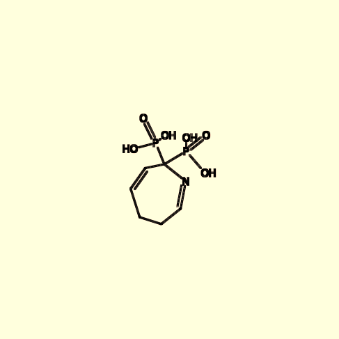 O=P(O)(O)C1(P(=O)(O)O)C=CCCC=N1